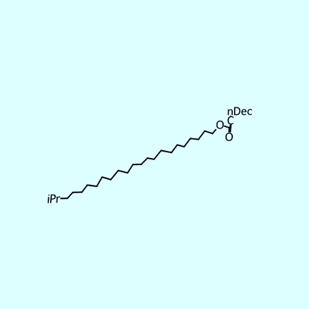 CCCCCCCCCCCC(=O)OCCCCCCCCCCCCCCCCCCCCCC(C)C